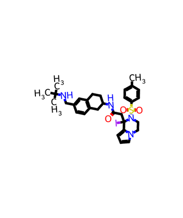 Cc1ccc(S(=O)(=O)N2CCn3cccc3C2(I)CC(=O)NC2CCc3cc(CNC(C)(C)C)ccc3C2)cc1